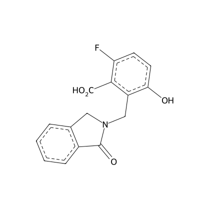 O=C(O)c1c(F)ccc(O)c1CN1Cc2ccccc2C1=O